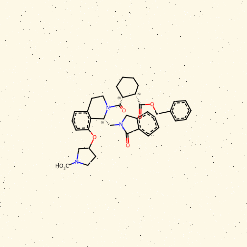 O=C(OCc1ccccc1)[C@H]1CCCC[C@H]1C(=O)N1CCc2cccc(OC3CCN(C(=O)O)C3)c2[C@H]1CN1Cc2ccccc2C1=O